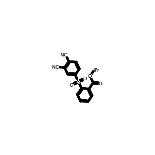 CC(C)OC(=O)c1ccccc1S(=O)(=O)c1ccc(C#N)c(C#N)c1